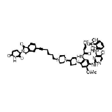 COc1cc(N2CCC(N3CCN(CCCCC#Cc4ccc5c(c4)CN(C4CCC(=O)NC4=O)C5=O)CC3)CC2)c(NC(=O)C=CC(F)(F)F)cc1Nc1ncc(Cl)c(Nc2ccccc2P(C)(C)=O)n1